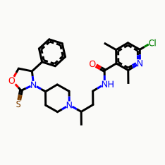 Cc1cc(Cl)nc(C)c1C(=O)NCCC(C)N1CCC(N2C(=S)OCC2c2ccccc2)CC1